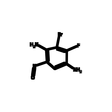 Nc1cc(N=O)c(N)c(Br)c1F